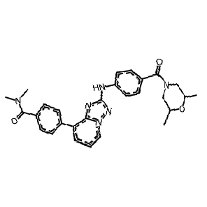 CC1CN(C(=O)c2ccc(Nc3nc4c(-c5ccc(C(=O)N(C)C)cc5)cccn4n3)cc2)CC(C)O1